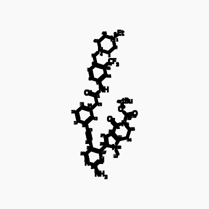 CCN1CCN(Cc2ccc(NC(=O)Cc3cccc(C#Cc4cnc(N)nc4-c4cc5c(n4C)CCN(C(=O)OC(C)(C)C)C5=O)c3)cc2C(F)(F)F)CC1